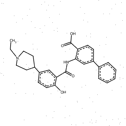 CCN1CCC(c2ccc(O)c(C(=O)Nc3cc(-c4ccccc4)ccc3C(=O)O)c2)CC1